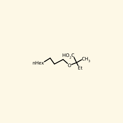 CCCCCCCCCOC(C)(CC)C(=O)O